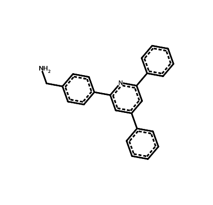 NCc1ccc(-c2cc(-c3ccccc3)cc(-c3ccccc3)n2)cc1